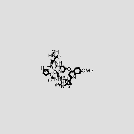 C=C[C@@H]1C[C@]1(NC(=O)[C@@H]1C[C@@H](Oc2cc(-c3csc(NC(C)C)n3)nc3cc(OC)ccc23)CN1C(=O)[C@@H](NC(=O)OC1CCCC1)C(C)(C)C)C(=O)NO